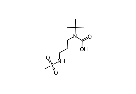 CC(C)(C)N(CCCNS(C)(=O)=O)C(=O)O